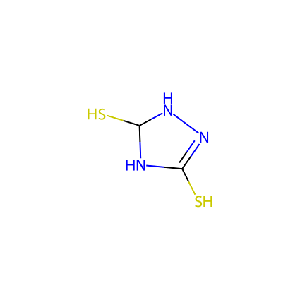 SC1=NNC(S)N1